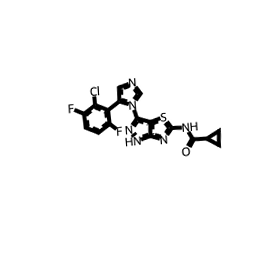 O=C(Nc1nc2[nH]nc(-n3cncc3-c3c(F)ccc(F)c3Cl)c2s1)C1CC1